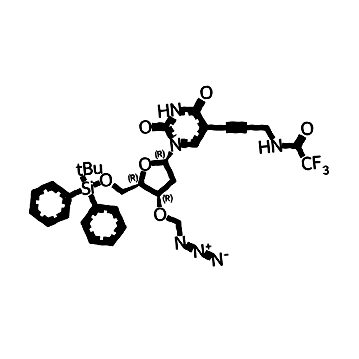 CC(C)(C)[Si](OC[C@H]1O[C@@H](n2cc(C#CCNC(=O)C(F)(F)F)c(=O)[nH]c2=O)C[C@H]1OCN=[N+]=[N-])(c1ccccc1)c1ccccc1